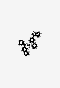 c1ccc(-c2nc(-n3c4ccccc4c4cc(-c5csc6ccccc56)ccc43)nc3c2ccc2ccccc23)cc1